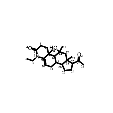 CCN1C(=O)CCC2(C)C1=CCC1C2C(C)(O)CC2(C)C(C(C)=O)CCC12